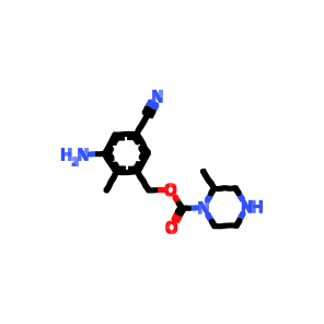 Cc1c(N)cc(C#N)cc1COC(=O)N1CCNCC1C